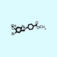 COC(=O)C1CCC(n2cc3cc(Br)c(OC)cc3n2)CC1